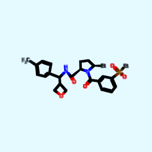 CC[C@@H]1CC[C@H](C(=O)NC(c2ccc(C(F)(F)F)cc2)C2COC2)N1C(=O)c1cccc(S(=O)(=O)CC)c1